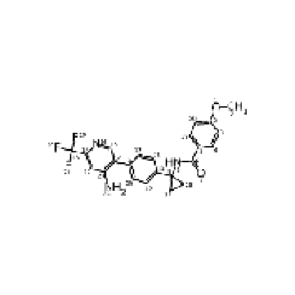 COc1ccc(C(=O)NC2(c3ccc(-c4cnc(C(F)(F)F)cc4N)cc3)CC2)cc1